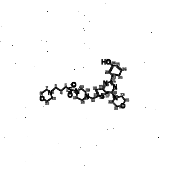 O=S(=O)(CCCN1CCOCC1)N1CCN(Cc2cc3nc(-c4cccc(O)c4)nc(N4CCOCC4)c3s2)CC1